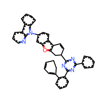 C1=CCCC(c2ccccc2-c2nc(-c3ccccc3)nc(C3C=Cc4c(oc5cc(-n6c7ccccc7c7cccnc76)ccc45)C3)n2)=C1